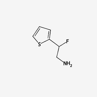 NCC(F)c1cccs1